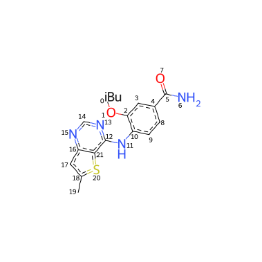 CCC(C)Oc1cc(C(N)=O)ccc1Nc1ncnc2cc(C)sc12